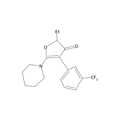 CCC1OC(N2CCCCC2)=C(c2cccc(C(F)(F)F)c2)C1=O